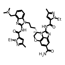 CCn1nc(C)cc1C(=O)Nc1nc2c(CN(C)C)cccc2n1CCC[C@H]1COc2cc(C(N)=O)cc3nc(NC(=O)c4cc(C)nn4CC)n1c23